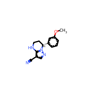 COc1cccc([C@H]2CCNc3c(C#N)cnn32)c1